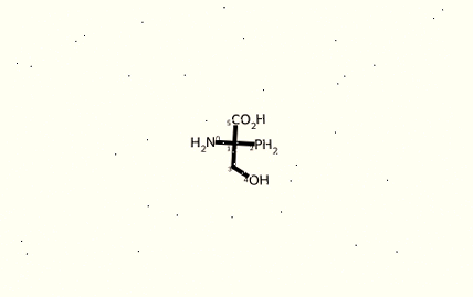 NC(P)(CO)C(=O)O